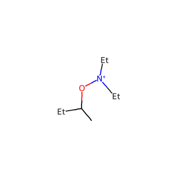 CCC(C)O[N+](CC)CC